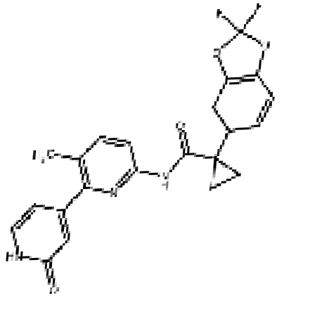 Cc1ccc(NC(=O)C2(C3C=CC4=C(C3)OC(F)(F)O4)CC2)nc1-c1cc[nH]c(=O)c1